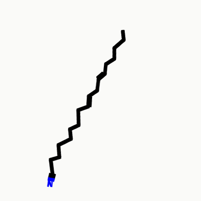 CCCCC/C=C/C/C=C/CCCCCCCC#N